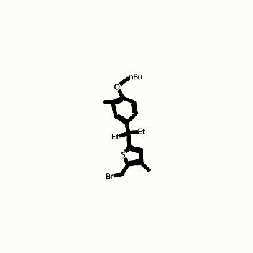 CCCCOc1ccc(C(CC)(CC)c2cc(C)c(CBr)s2)cc1C